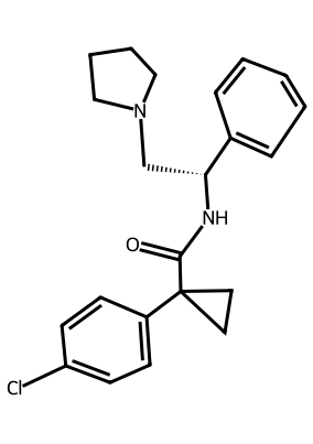 O=C(N[C@H](CN1CCCC1)c1ccccc1)C1(c2ccc(Cl)cc2)CC1